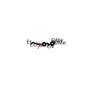 CCC(CCCCCOc1ccc(/C=C(\C#N)c2ccc(OC)c(OC)c2)cc1)C(=O)O